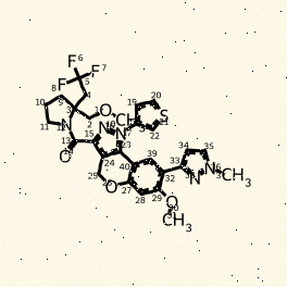 COCC1(CC(F)(F)F)CCCN1C(=O)c1nn(-c2ccsc2)c2c1COc1cc(OC)c(-c3ccn(C)n3)cc1-2